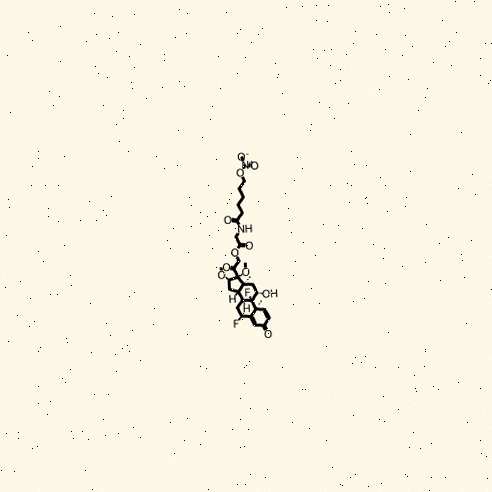 CO[C@@H]1C[C@H]2[C@@H]3C[C@H](F)C4=CC(=O)C=C[C@]4(C)[C@@]3(F)[C@@H](O)C[C@]2(C)[C@@]1(OC)C(=O)COC(=O)CNC(=O)CCCCCO[N+](=O)[O-]